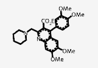 CCOC(=O)c1c(CN2CCCCC2)nc2cc(OC)c(OC)cc2c1-c1ccc(OC)c(OC)c1